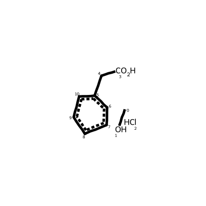 CO.Cl.O=C(O)Cc1ccccc1